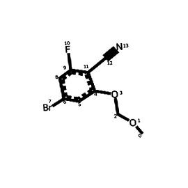 COCOc1cc(Br)cc(F)c1C#N